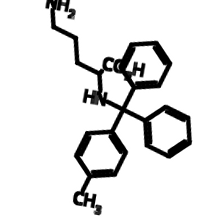 Cc1ccc(C(NC(CCCN)C(=O)O)(c2ccccc2)c2ccccc2)cc1